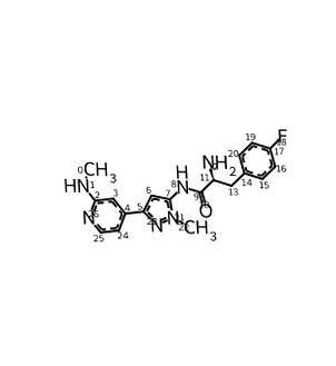 CNc1cc(-c2cc(NC(=O)[C@@H](N)Cc3ccc(F)cc3)n(C)n2)ccn1